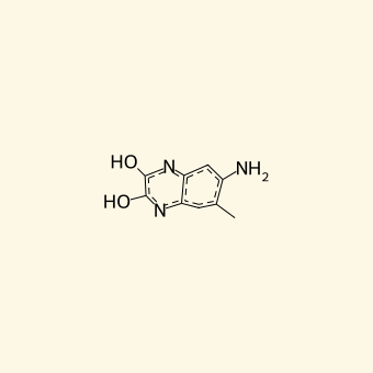 Cc1cc2nc(O)c(O)nc2cc1N